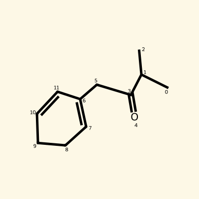 CC(C)C(=O)CC1=CCCC=C1